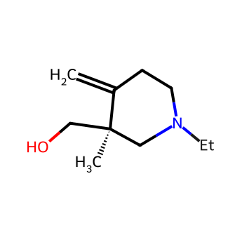 C=C1CCN(CC)C[C@@]1(C)CO